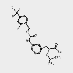 CC(C)OC(Cc1cccc(NC(=O)OCc2ccc(C(F)(F)F)cc2F)c1)C(=O)O